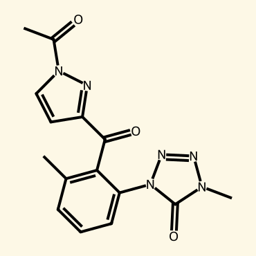 CC(=O)n1ccc(C(=O)c2c(C)cccc2-n2nnn(C)c2=O)n1